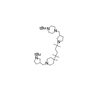 CC(C)(C)N1CCN(CC2CCN(C(C)(C)CCC(C)(C)C3(C)CCN(CC4CCN(C(C)(C)C)C4)CC3)C2)CC1